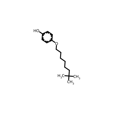 CC(C)(C)CCCCCCOc1ccc(O)cc1